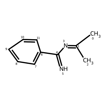 CC(C)=NC(=N)c1ccccc1